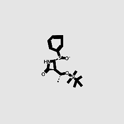 C[C@@H](O[Si](C)(C)C(C)(C)C)[C@H]1C(=O)N[C@@H]1[S+]([O-])c1ccccc1